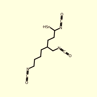 O=C=NCCCCC(CC[CH]([SnH])N=C=O)CN=C=O